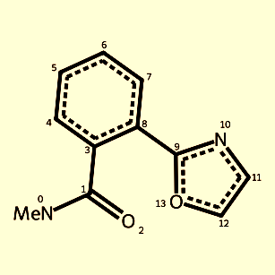 CNC(=O)c1ccccc1-c1ncco1